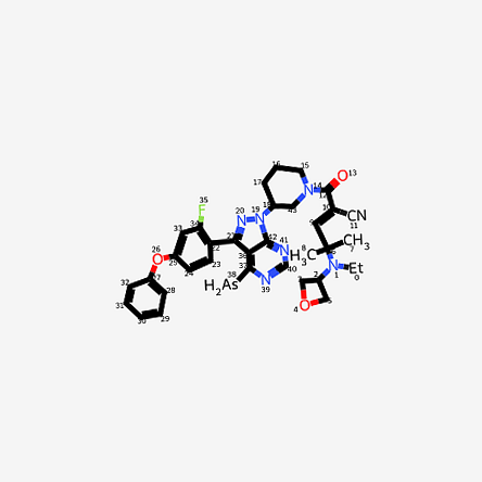 CCN(C1COC1)C(C)(C)C=C(C#N)C(=O)N1CCCC(n2nc(-c3ccc(Oc4ccccc4)cc3F)c3c([AsH2])ncnc32)C1